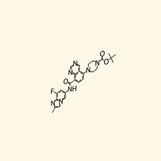 Cc1cn2cc(NC(=O)c3ccc(N4CCN(C(=O)OC(C)(C)C)CC4)c4cncnc34)cc(F)c2n1